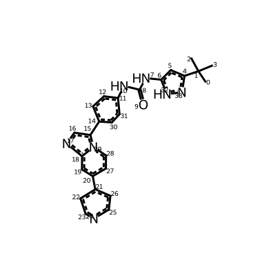 CC(C)(C)c1cc(NC(=O)Nc2ccc(-c3cnc4cc(-c5ccncc5)ccn34)cc2)[nH]n1